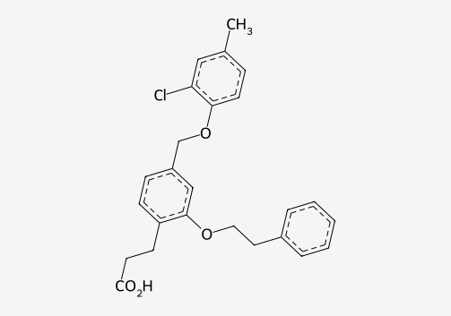 Cc1ccc(OCc2ccc(CCC(=O)O)c(OCCc3ccccc3)c2)c(Cl)c1